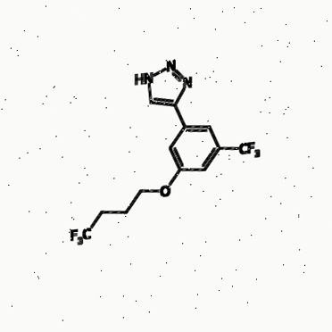 FC(F)(F)CCCOc1cc(-c2c[nH]nn2)cc(C(F)(F)F)c1